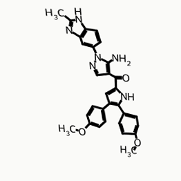 COc1ccc(-c2cc(C(=O)c3cnn(-c4ccc5[nH]c(C)nc5c4)c3N)[nH]c2-c2ccc(OC)cc2)cc1